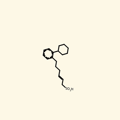 O=S(=O)(O)CC=CCCCc1ccccc1C1CCCCC1